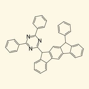 c1ccc(-c2nc(-c3ccccc3)nc(C3c4ccccc4-c4cc5c(cc43)C(c3ccccc3)c3ccccc3-5)n2)cc1